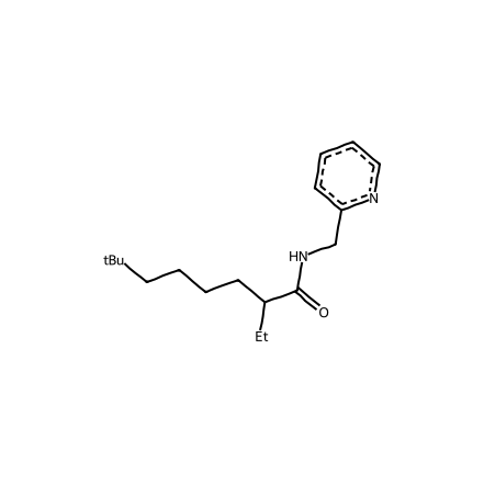 CCC(CCCCC(C)(C)C)C(=O)NCc1ccccn1